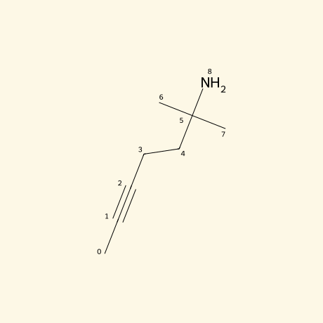 CC#CCCC(C)(C)N